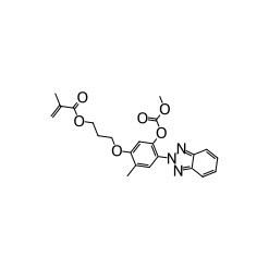 C=C(C)C(=O)OCCCOc1cc(OC(=O)OC)c(-n2nc3ccccc3n2)cc1C